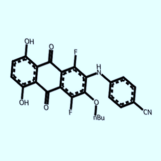 CCCCOc1c(F)c2c(c(F)c1Nc1ccc(C#N)cc1)C(=O)c1c(O)ccc(O)c1C2=O